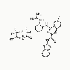 Cc1ccc2nc(C(=O)Nc3nc4ccccc4s3)nc(NC3CCCCC3NC(=N)N)c2c1.O=C(O)C(F)(F)F.O=C(O)C(F)(F)F